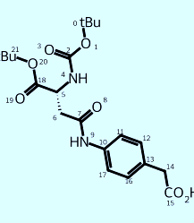 CC(C)(C)OC(=O)N[C@H](CC(=O)Nc1ccc(CC(=O)O)cc1)C(=O)OC(C)(C)C